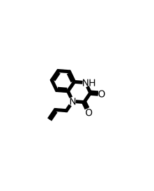 C=CCn1c(=O)c(=O)[nH]c2ccccc21